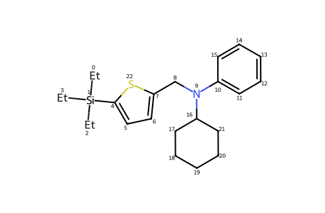 CC[Si](CC)(CC)c1ccc(CN(c2ccccc2)C2CCCCC2)s1